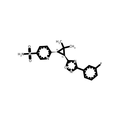 CC1(C)[C@@H](c2ccc(S(N)(=O)=O)cn2)[C@@H]1c1nc(-c2cccc(F)c2)no1